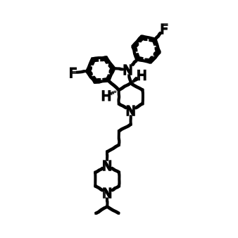 CC(C)N1CCN(CCCCN2CC[C@@H]3[C@@H](C2)c2cc(F)ccc2N3c2ccc(F)cc2)CC1